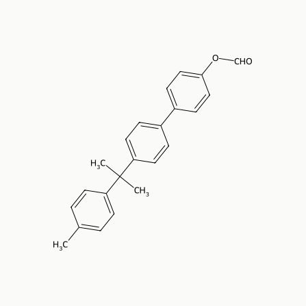 Cc1ccc(C(C)(C)c2ccc(-c3ccc(OC=O)cc3)cc2)cc1